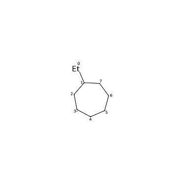 CCC1C[CH]CCCC1